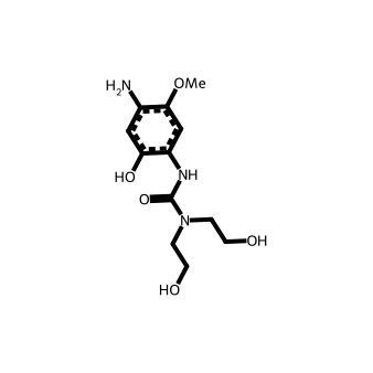 COc1cc(NC(=O)N(CCO)CCO)c(O)cc1N